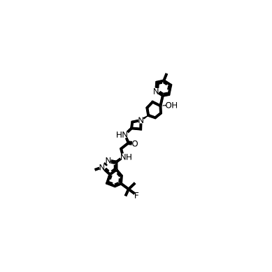 Cc1ccc([C@]2(O)CC[C@H](N3CC(NC(=O)CNc4nn(C)c5ccc(C(C)(C)F)cc45)C3)CC2)nc1